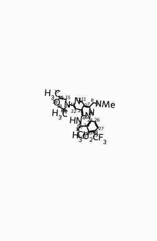 C=C[C@@H](Nc1nnc(CNC)c2cnc(N3C[C@@H](C)OC[C@H]3C)cc12)c1cccc(C(F)(F)F)c1C